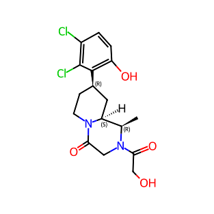 C[C@@H]1[C@@H]2C[C@H](c3c(O)ccc(Cl)c3Cl)CCN2C(=O)CN1C(=O)CO